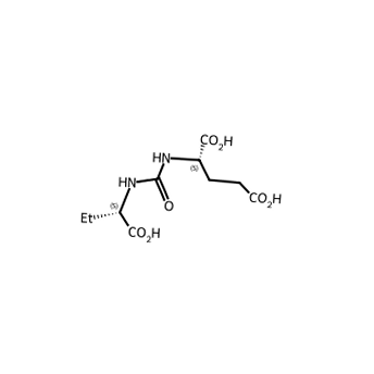 CC[C@H](NC(=O)N[C@@H](CCC(=O)O)C(=O)O)C(=O)O